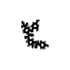 Cc1cc(F)ccc1Oc1cc(C(F)(F)F)ccc1C(=O)Nc1ccc(F)c(NC(=O)N2CCN(C)CC2)c1